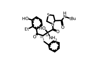 CCc1c(O)cccc1C(=O)[C@@H](Cc1ccccc1)[C@](N)(O)C(=O)N1CSCC1C(=O)NC(C)(C)C